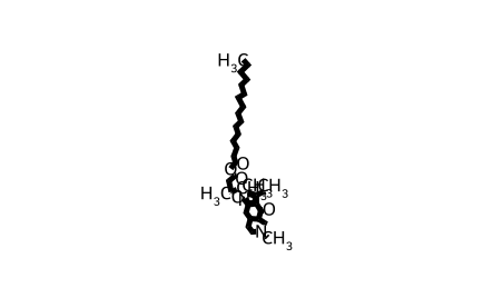 CCCCCCCCCCCCCCCC(=O)OC(=O)CC(C)(C)Cn1c(C)c(CC)c2c1CC1CCN(C)CC1C2=O